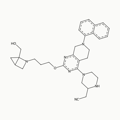 N#CCC1CN(c2nc(OCCCN3CC4CC43CO)nc3c2CCN(c2cccc4ccccc24)C3)CCN1